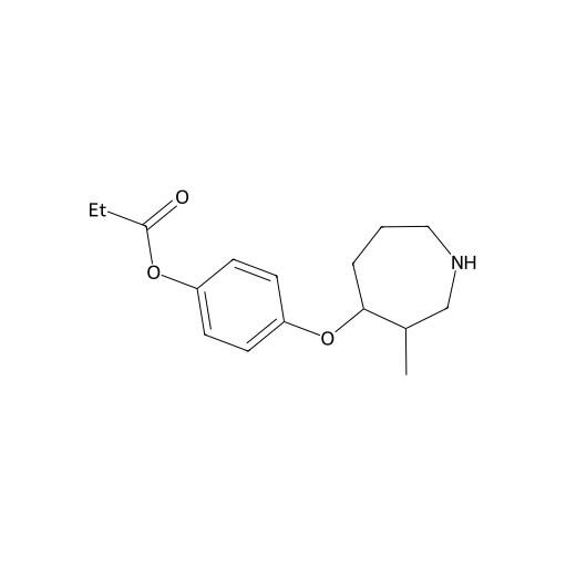 CCC(=O)Oc1ccc(OC2CCCNCC2C)cc1